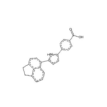 O=C(O)c1ccc(-c2ccc(-c3ccc4c5c(cccc35)CC4)[nH]2)cc1